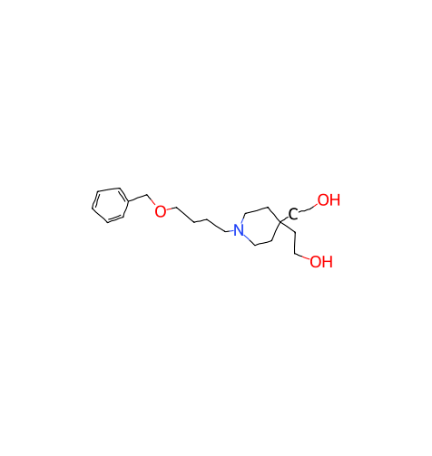 OCCC1(CCO)CCN(CCCCOCc2ccccc2)CC1